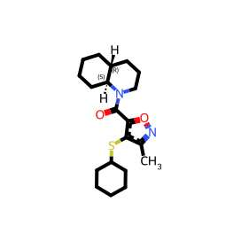 Cc1noc(C(=O)N2CCC[C@H]3CCCC[C@@H]32)c1SC1CCCCC1